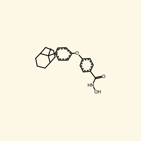 CC1(c2ccc(Oc3ccc(C(=O)NO)cc3)cc2)C2CCCC1CCC2